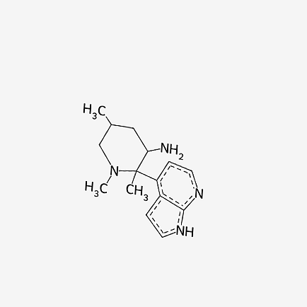 CC1CC(N)C(C)(c2ccnc3[nH]ccc23)N(C)C1